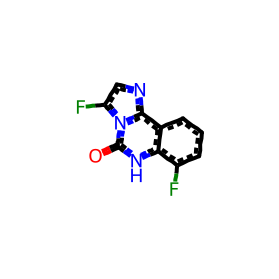 O=c1[nH]c2c(F)cccc2c2ncc(F)n12